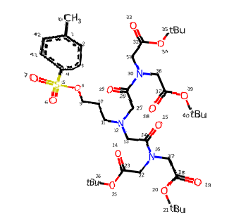 Cc1ccc(S(=O)(=O)OCCCN(CC(=O)N(CC(=O)OC(C)(C)C)CC(=O)OC(C)(C)C)CC(=O)N(CC(=O)OC(C)(C)C)CC(=O)OC(C)(C)C)cc1